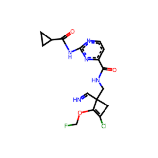 N=CC1(CNC(=O)c2ccnc(NC(=O)C3CC3)n2)CC(Cl)=C1OCF